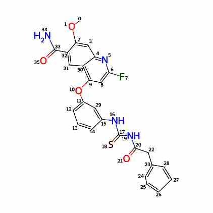 COc1cc2nc(F)cc(Oc3cccc(NC(=S)NC(=O)Cc4ccccc4)c3)c2cc1C(N)=O